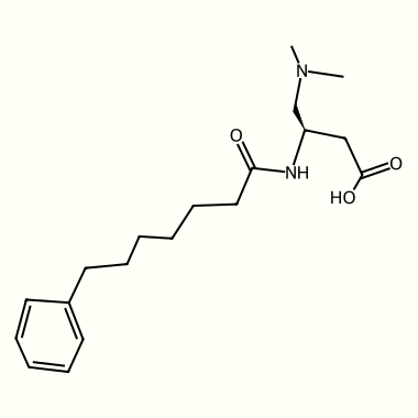 CN(C)C[C@@H](CC(=O)O)NC(=O)CCCCCCc1ccccc1